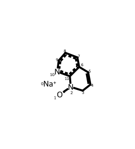 [Na+].[O-]N1CC=Cc2cccnc21